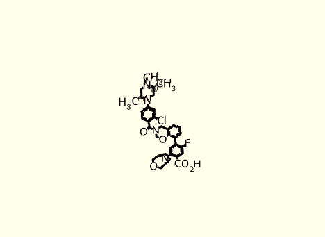 C[C@@H]1CN(c2ccc(C(=O)N3COc4c(cccc4-c4cc(N5C6CCC5COC6)c(C(=O)O)cc4F)C3)c(Cl)c2)[C@H](C)CN1C